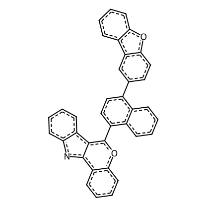 c1ccc2c3c(-c4ccc(-c5ccc6oc7ccccc7c6c5)c5ccccc45)oc4ccccc4c-3nc2c1